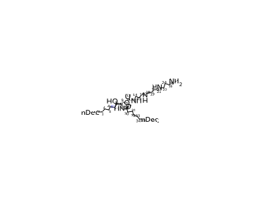 CCCCCCCCCCCCC/C=C/[C@@H](O)[C@H](COC(=O)NCCCNCCCCNCCCN)NC(=O)CCCCCCCCCCCCCCC